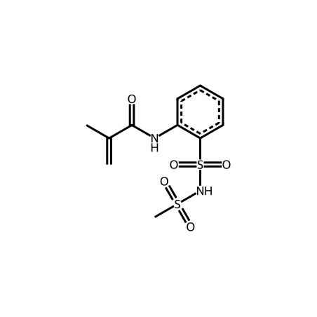 C=C(C)C(=O)Nc1ccccc1S(=O)(=O)NS(C)(=O)=O